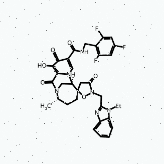 CCn1c(CN2O[C@@]3(CC[C@H](C)N4C[C@H]3n3cc(C(=O)NCc5c(F)cc(F)cc5F)c(=O)c(O)c3C4=O)CC2=O)nc2ccccc21